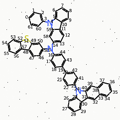 c1ccc(-n2c3ccccc3c3ccc(N(c4ccc(-c5ccc(-n6c7ccccc7c7cc8ccccc8cc76)cc5)cc4)c4ccc5c(c4)sc4ccccc45)cc32)cc1